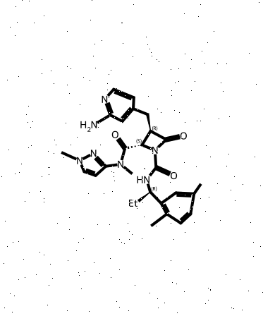 CC[C@@H](NC(=O)N1C(=O)[C@H](Cc2ccnc(N)c2)[C@H]1C(=O)N(C)c1ccn(C)n1)c1cc(C)ccc1C